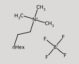 CCCCCCCC[N+](C)(C)C.F[B-](F)(F)F